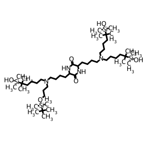 CC(C)(CCCCN(CCCCC1NC(=O)C(CCCCN(CCCCC(C)(C)[Si](C)(C)O)CCCO[Si](C)(C)C(C)(C)C)NC1=O)CCCCC(C)(C)[Si](C)(C)O)[Si](C)(C)O